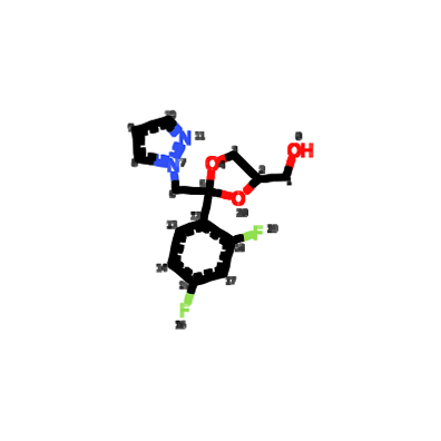 OCC1COC(Cn2cccn2)(c2ccc(F)cc2F)O1